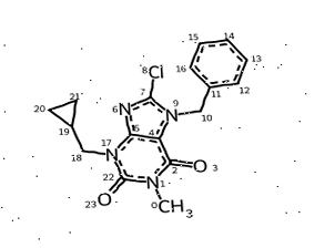 Cn1c(=O)c2c(nc(Cl)n2Cc2ccccc2)n(CC2CC2)c1=O